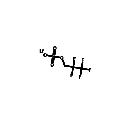 O=S(=O)([O-])OCC(F)(F)C(F)(F)F.[Li+]